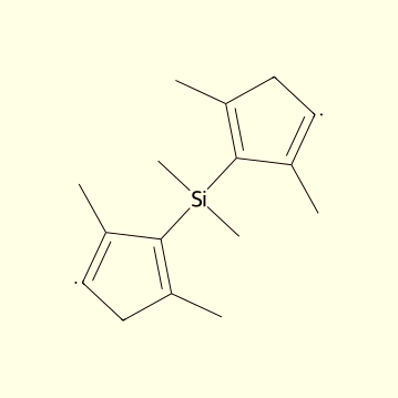 CC1=[C]CC(C)=C1[Si](C)(C)C1=C(C)C[C]=C1C